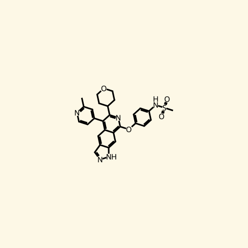 Cc1cc(-c2c(C3CCOCC3)nc(Oc3ccc(NS(C)(=O)=O)cc3)c3cc4[nH]ncc4cc23)ccn1